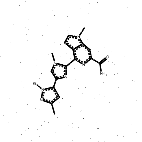 CCn1nc(C)cc1-c1cn(C)c(-c2nc(C(N)=O)cc3c2ccn3C)n1